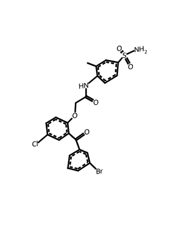 Cc1cc(S(N)(=O)=O)ccc1NC(=O)COc1ccc(Cl)cc1C(=O)c1cccc(Br)c1